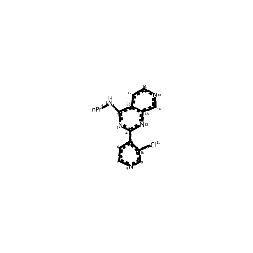 CCCNc1nc(-c2ccncc2Cl)nc2cnccc12